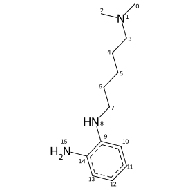 CN(C)CCCCCNc1ccccc1N